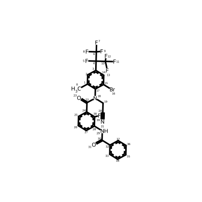 Cc1cc(C(F)(C(F)(F)F)C(F)(F)F)cc(Br)c1N(CC#N)C(=O)c1cccc(NC(=O)c2ccccc2)c1F